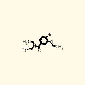 CCOc1cc(C(=O)N(CC)CC)ccc1Br